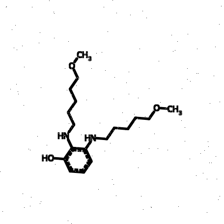 COCCCCCNc1cccc(O)c1NCCCCCOC